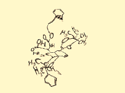 CC(C1(OCc2ccccc2)C=CC(B2OC(C)(C)C(C)(C)O2)=CC1CC(NC(=O)OCc1ccccc1)C(=O)O)[Si](C)(C)C